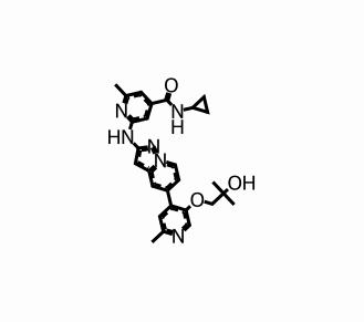 Cc1cc(-c2ccn3nc(Nc4cc(C(=O)NC5CC5)cc(C)n4)cc3c2)c(OCC(C)(C)O)cn1